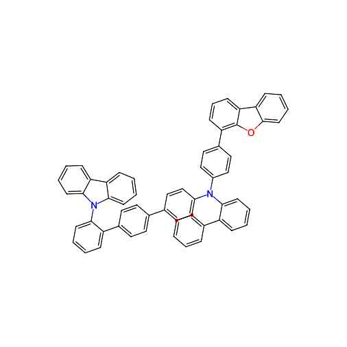 c1ccc(-c2ccccc2N(c2ccc(-c3ccc(-c4ccccc4-n4c5ccccc5c5ccccc54)cc3)cc2)c2ccc(-c3cccc4c3oc3ccccc34)cc2)cc1